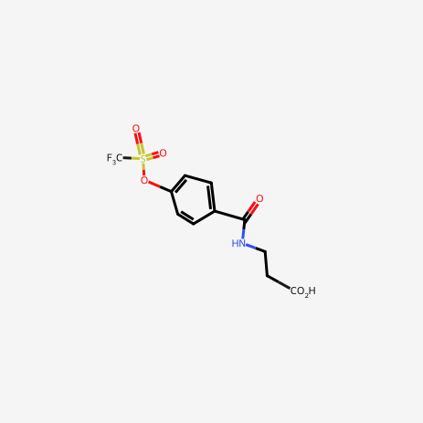 O=C(O)CCNC(=O)c1ccc(OS(=O)(=O)C(F)(F)F)cc1